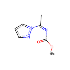 C/C(=N/C(=O)OC(C)(C)C)n1cccn1